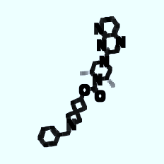 C[C@@H]1CN(c2cnc3cccnc3n2)C[C@H](C)N1C(=O)OC1CC2(C1)CN(Cc1ccccc1)C2